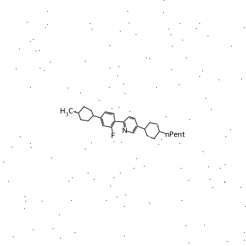 CCCCCC1CCC(c2ccc(-c3ccc(C4CCC(C)CC4)cc3F)nc2)CC1